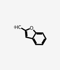 [CH]c1cc2ccccc2o1